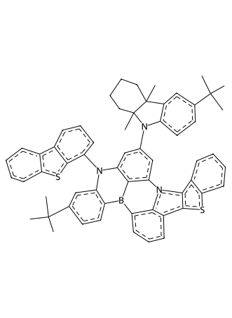 CC(C)(C)c1ccc2c(c1)N(c1cccc3c1sc1ccccc13)c1cc(N3c4ccc(C(C)(C)C)cc4C4(C)CCCCC34C)cc3c1B2c1cccc2c4sc5ccccc5c4n-3c12